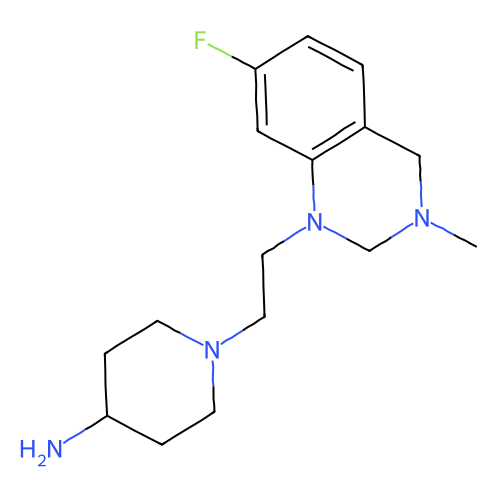 CN1Cc2ccc(F)cc2N(CCN2CCC(N)CC2)C1